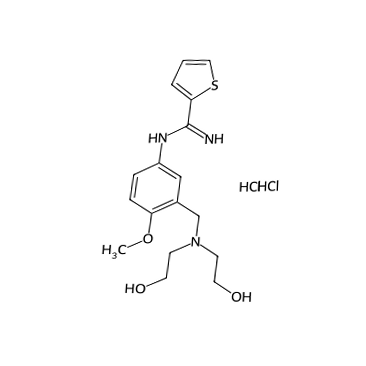 COc1ccc(NC(=N)c2cccs2)cc1CN(CCO)CCO.Cl.Cl